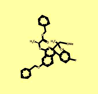 COCC(C)(C)c1nc(O[C@@H](C)C(=O)OCc2ccccc2)c2cc(OCc3ccccc3)ccc2c1-c1ccc(F)cc1